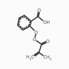 C=C(C)C(=O)OOc1ccccc1C(=O)O